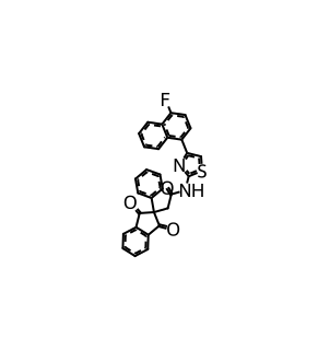 O=C(CC1(c2ccccc2)C(=O)c2ccccc2C1=O)Nc1nc(-c2ccc(F)c3ccccc23)cs1